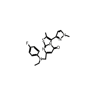 CCN(Cc1cc(=O)n2c(-c3ccn(C)n3)c(C)sc2n1)c1ccc(F)cc1